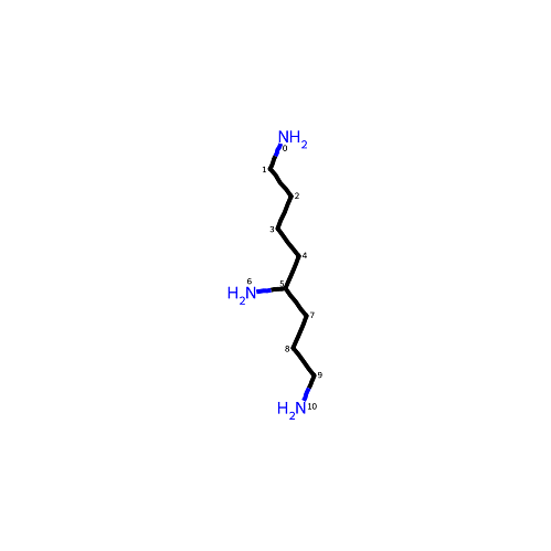 NCCCCC(N)CCCN